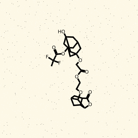 CC(F)(F)C(=O)OC12CC3CC(O)(CC(OCC(=O)OCCOC4C5CC6C(=O)OC4C6C5)(C3)C1)C2